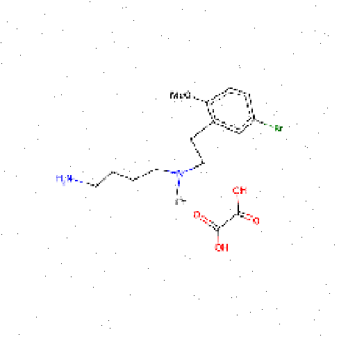 COc1ccc(Br)cc1CCN(CCCCN)C(C)C.O=C(O)C(=O)O